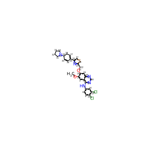 COc1cc2c(Nc3ccc(Cl)c(Cl)c3)ncnc2cc1OCc1nc(C2=CCC(N3CCCC3)C=C2)cs1